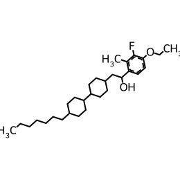 CCCCCCCC1CCC(C2CCC(CC(O)c3ccc(OCC)c(F)c3C)CC2)CC1